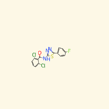 O=C(Nc1nnc(-c2ccc(F)cc2)s1)c1c(Cl)cccc1Cl